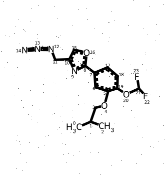 CC(C)COc1cc(-c2nc(CN=[N+]=[N-])co2)ccc1OC(F)F